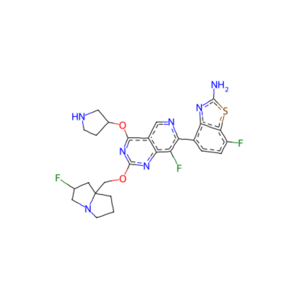 Nc1nc2c(-c3ncc4c(OC5CCNC5)nc(OCC56CCCN5CC(F)C6)nc4c3F)ccc(F)c2s1